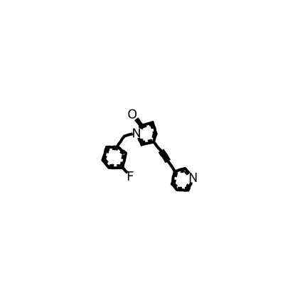 O=c1ccc(C#Cc2cccnc2)cn1Cc1cccc(F)c1